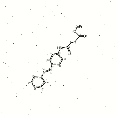 CCCOC(=O)CCC(=S)Nc1ccc(N=Nc2ccccc2)cc1